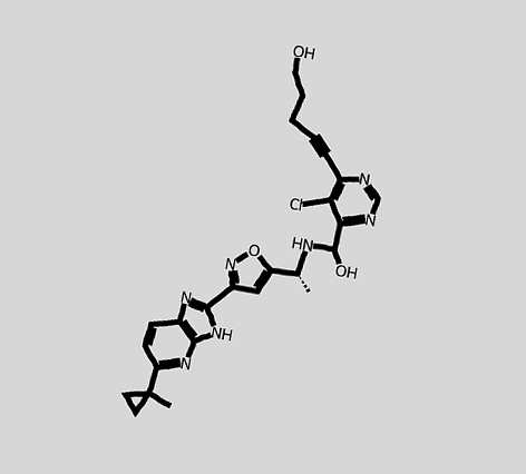 C[C@@H](NC(O)c1ncnc(C#CCCCO)c1Cl)c1cc(-c2nc3ccc(C4(C)CC4)nc3[nH]2)no1